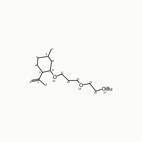 C=C(C)C1CCC(C)CC1OCCCOCCOCC(C)C